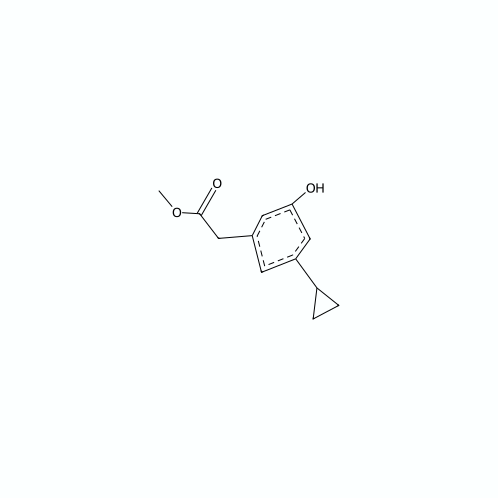 COC(=O)Cc1cc(O)cc(C2CC2)c1